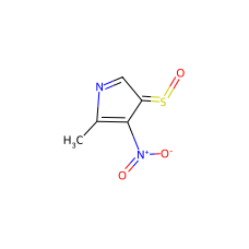 CC1=C([N+](=O)[O-])C(=S=O)C=N1